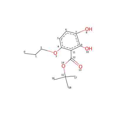 CCCOc1ccc(O)c(O)c1C(=O)OC(C)(C)C